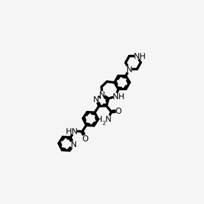 NC(=O)c1c(-c2ccc(C(=O)Nc3ccccn3)cc2)nn2c1Nc1ccc(N3CCNCC3)cc1CC2